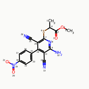 COC(=O)C(C)Sc1nc(N)c(C#N)c(-c2ccc([N+](=O)[O-])cc2)c1C#N